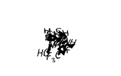 Cc1cc(C(=O)N2[C@@H]3[C@H](C)[C@@H]3C[C@@H]2C(=O)N[C@@H](c2ccc(C(F)(F)F)cc2F)C2CC2)c(NCCO)cn1